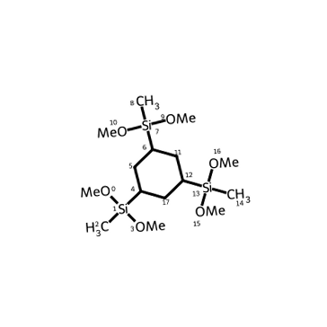 CO[Si](C)(OC)C1CC([Si](C)(OC)OC)CC([Si](C)(OC)OC)C1